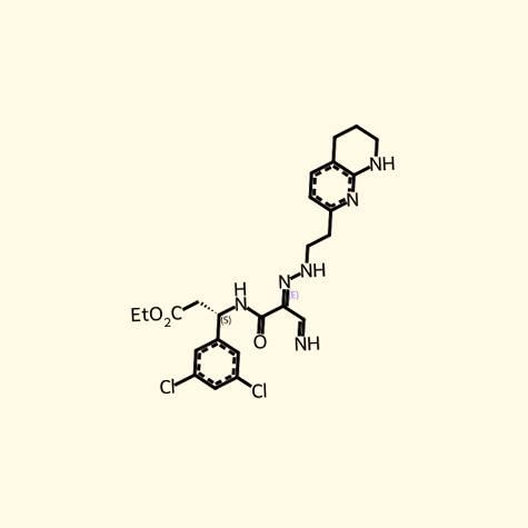 CCOC(=O)C[C@H](NC(=O)/C(C=N)=N/NCCc1ccc2c(n1)NCCC2)c1cc(Cl)cc(Cl)c1